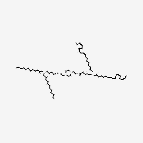 CC/C=C\C/C=C\C/C=C\CCCCCCC(O)CN(CCCCC(=O)OCCN1CCN(CCSSCCCCN(CC(O)CCCCCCCCCC)CC(O)CCCCCCCCCC)CC1)CC(O)CCCCCC/C=C\C/C=C\C/C=C\CC